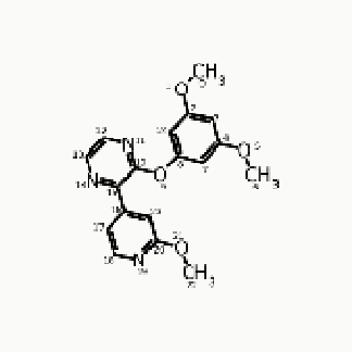 COc1cc(OC)cc(Oc2nccnc2-c2ccnc(OC)c2)c1